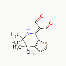 CC1(C)NC(=C(C=O)C=O)c2sccc2C1(C)C